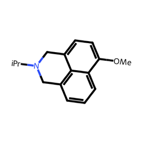 COc1ccc2c3c(cccc13)CN(C(C)C)C2